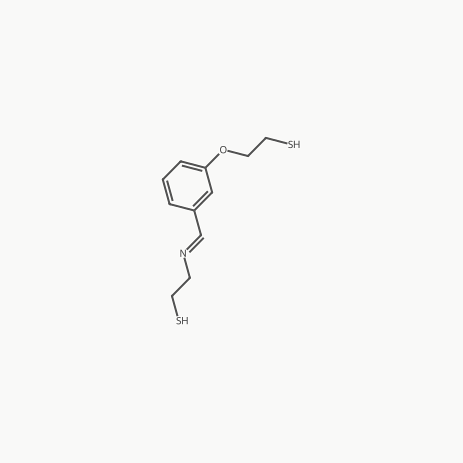 SCC/N=C/c1cccc(OCCS)c1